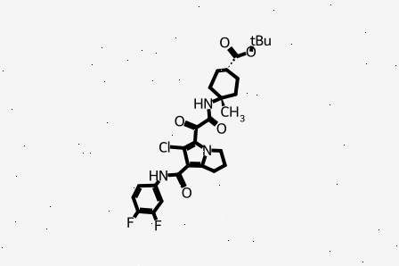 CC(C)(C)OC(=O)[C@H]1CC[C@@](C)(NC(=O)C(=O)c2c(Cl)c(C(=O)Nc3ccc(F)c(F)c3)c3n2CCC3)CC1